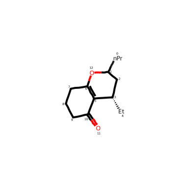 CCCC1C[C@H](CC)C2=C(CCCC2=O)O1